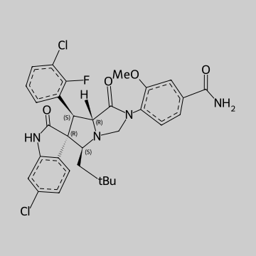 COc1cc(C(N)=O)ccc1N1CN2[C@@H](CC(C)(C)C)[C@@]3(C(=O)Nc4cc(Cl)ccc43)[C@@H](c3cccc(Cl)c3F)[C@@H]2C1=O